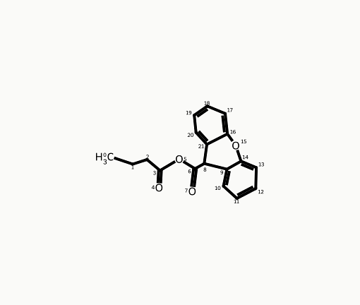 CCCC(=O)OC(=O)C1c2ccccc2Oc2ccccc21